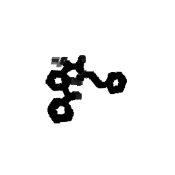 CC(C(=O)N(O)CCc1ccccc1)c1cccc(C(=O)c2ccccc2)c1